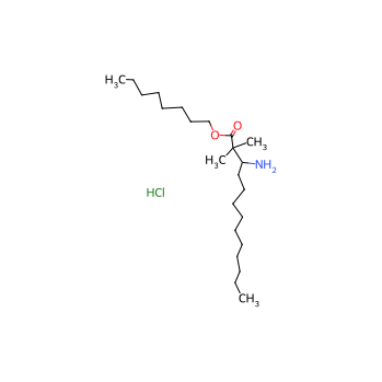 CCCCCCCCCCC(N)C(C)(C)C(=O)OCCCCCCCC.Cl